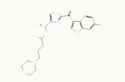 CC[C@H](OC(O)CCCN1CCOCC1)c1csc(C(=O)c2c[nH]c3cc(F)ccc23)n1